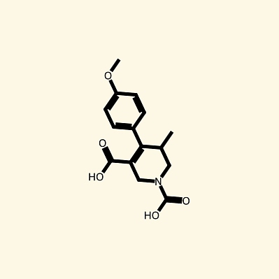 COc1ccc(C2=C(C(=O)O)CN(C(=O)O)CC2C)cc1